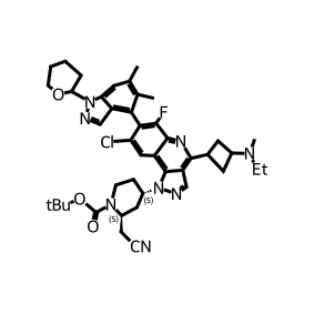 CCN(C)C1CC(c2nc3c(F)c(-c4c(C)c(C)cc5c4cnn5C4CCCCO4)c(Cl)cc3c3c2cnn3[C@H]2CCN(C(=O)OC(C)(C)C)[C@H](CC#N)C2)C1